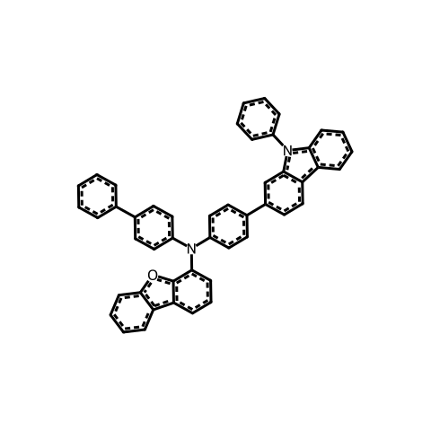 c1ccc(-c2ccc(N(c3ccc(-c4ccc5c6ccccc6n(-c6ccccc6)c5c4)cc3)c3cccc4c3oc3ccccc34)cc2)cc1